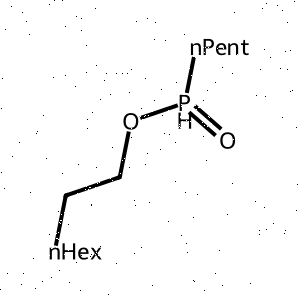 CCCCCCCCO[PH](=O)CCCCC